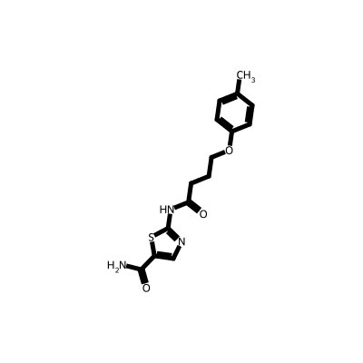 Cc1ccc(OCCCC(=O)Nc2ncc(C(N)=O)s2)cc1